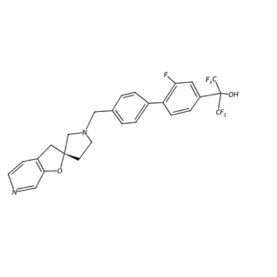 OC(c1ccc(-c2ccc(CN3CC[C@@]4(Cc5ccncc5O4)C3)cc2)c(F)c1)(C(F)(F)F)C(F)(F)F